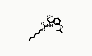 CCCCCCOC(=O)N[C@H](c1cccc(OC(C)C)c1)[C@H](C)O